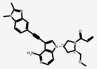 C=CC(=O)N1C[C@@H](n2cc(C#Cc3ccc4c(c3)nc(C)n4C)c3c(N)nccc32)C[C@@H]1COC